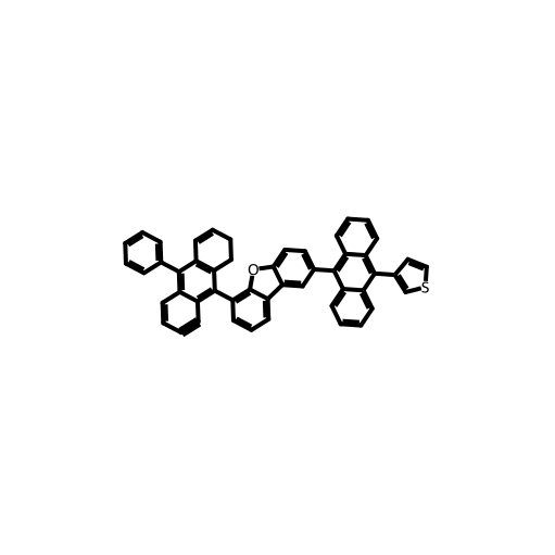 c1ccc2c(-c3ccccc3)c3c(c(-c4cccc5c4oc4ccc(-c6c7ccccc7c(-c7ccsc7)c7ccccc67)cc45)c2c#1)CCC=C3